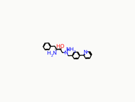 N[C@@H](Cc1ccccc1)[C@@H](O)CN(N)Cc1ccc(-c2ccc#cn2)cc1